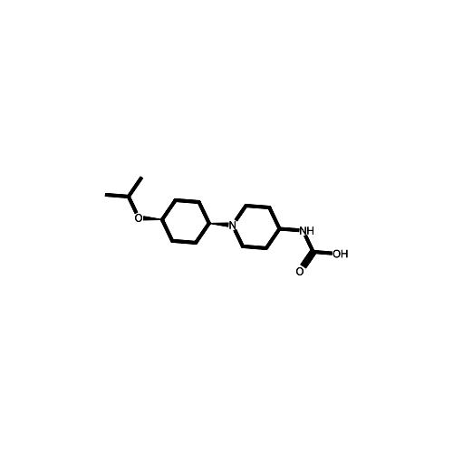 CC(C)O[C@H]1CC[C@@H](N2CCC(NC(=O)O)CC2)CC1